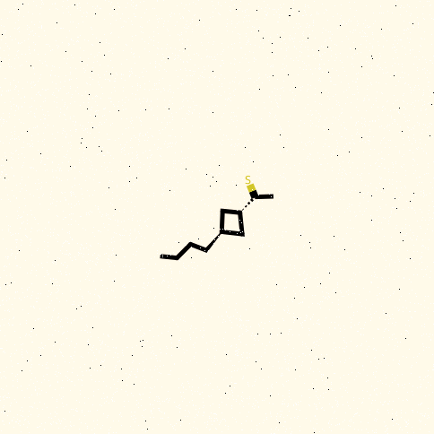 CCCC[C@H]1C[C@H](C(C)=S)C1